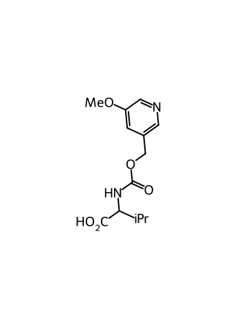 COc1cncc(COC(=O)NC(C(=O)O)C(C)C)c1